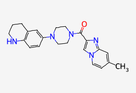 Cc1ccn2cc(C(=O)N3CCN(c4ccc5c(c4)CCCN5)CC3)nc2c1